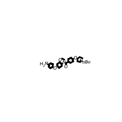 CCCCN1CCC(Oc2ccc(C(=O)N3CCOc4cc(Oc5ccc(N)cc5)ccc43)cc2)CC1